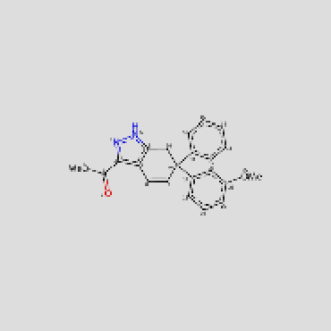 COC(=O)c1n[nH]c2c1C=CC(c1ccccc1)(c1cccc(OC)c1)C2